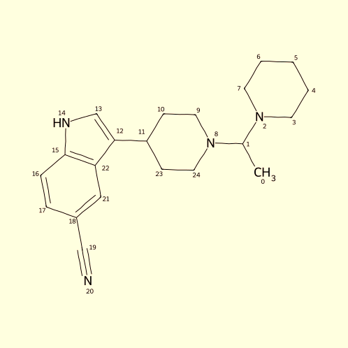 CC(N1CCCCC1)N1CCC(c2c[nH]c3ccc(C#N)cc23)CC1